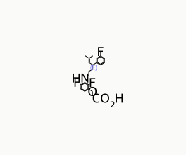 CC(C)=C/C(=C\CCNc1c(F)ccc(OCC(=O)O)c1F)c1cccc(F)c1